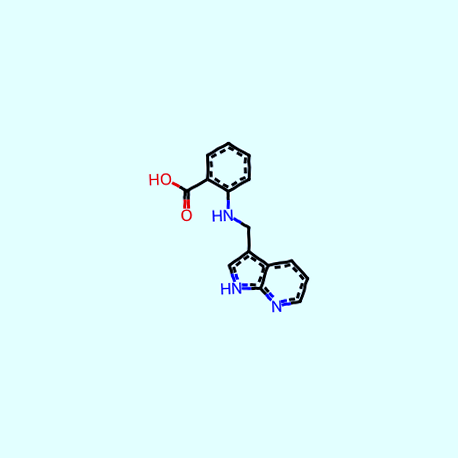 O=C(O)c1ccccc1NCc1c[nH]c2ncccc12